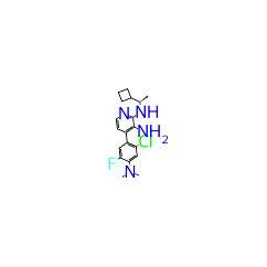 C[C@@H](Nc1nccc(-c2cc(F)c(N(C)C)cc2Cl)c1N)C1CCC1